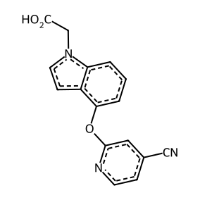 N#Cc1ccnc(Oc2cccc3c2ccn3CC(=O)O)c1